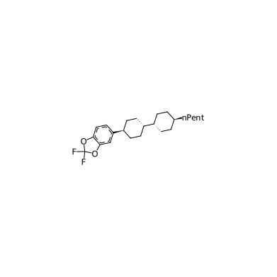 CCCCC[C@H]1CC[C@H]([C@H]2CC[C@H](c3ccc4c(c3)OC(F)(F)O4)CC2)CC1